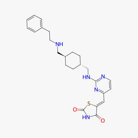 O=C1NC(=O)C(=Cc2ccnc(NC[C@H]3CC[C@H](CNCCc4ccccc4)CC3)n2)S1